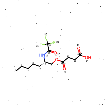 CCCCC[C@@H](COC(=O)CCC(=O)O)NC(=O)C(F)(F)F